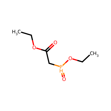 CCOC(=O)C[PH](=O)OCC